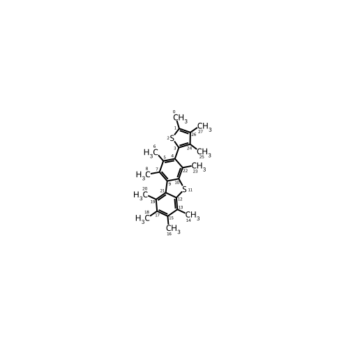 Cc1sc(-c2c(C)c(C)c3c(sc4c(C)c(C)c(C)c(C)c43)c2C)c(C)c1C